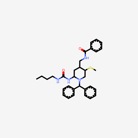 CCCCNC(=O)NC1CC(CNC(=O)c2ccccc2)C(SC)CN1C(c1ccccc1)c1ccccc1